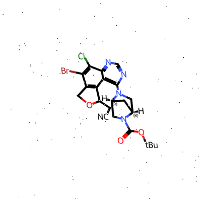 CC(C)(C)OC(=O)N1C[C@H]2C[C@@H]1CN2c1ncnc2c(Cl)c(Br)c3c(c12)C(CC#N)OC3